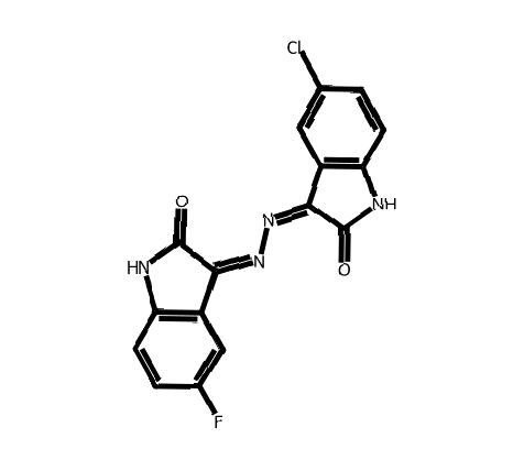 O=C1Nc2ccc(F)cc2/C1=N/N=C1\C(=O)Nc2ccc(Cl)cc21